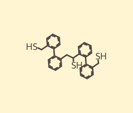 SCc1ccccc1-c1ccccc1CC(S)c1ccccc1-c1ccccc1CS